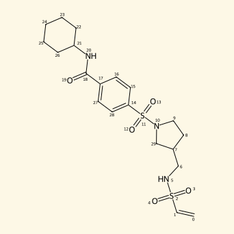 C=CS(=O)(=O)NCC1CCN(S(=O)(=O)c2ccc(C(=O)NC3CCCCC3)cc2)C1